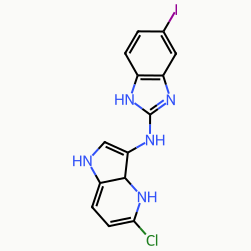 ClC1=CC=C2NC=C(Nc3nc4cc(I)ccc4[nH]3)C2N1